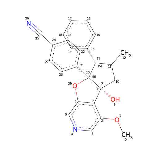 COc1cncc2c1[C@]1(O)CC(C)[C@@H](c3ccccc3)[C@]1(c1ccc(C#N)cc1)O2